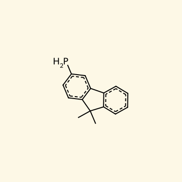 CC1(C)c2ccccc2-c2cc(P)ccc21